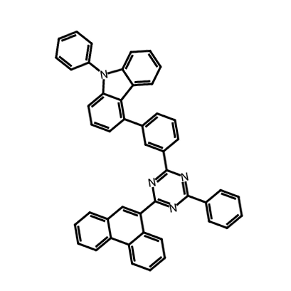 c1ccc(-c2nc(-c3cccc(-c4cccc5c4c4ccccc4n5-c4ccccc4)c3)nc(-c3cc4ccccc4c4ccccc34)n2)cc1